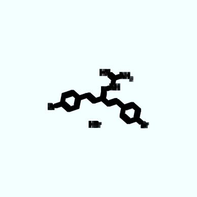 Br.N=C(N)NN=C(C=Cc1ccc(Br)cc1)C=Cc1ccc(Br)cc1